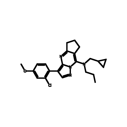 CCCN(CC1CC1)c1c2c(nc3c(-c4ccc(OC)cc4Cl)cnn13)CCC2